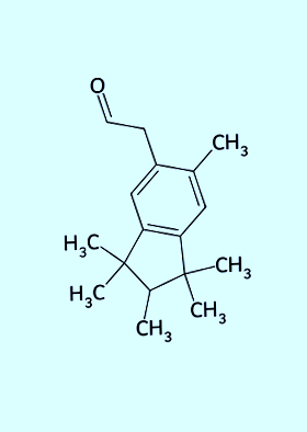 Cc1cc2c(cc1CC=O)C(C)(C)C(C)C2(C)C